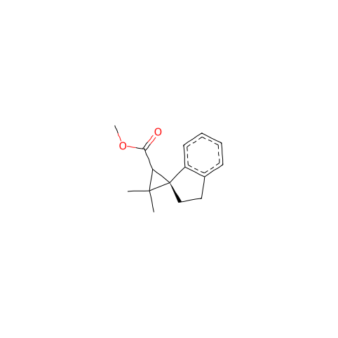 COC(=O)C1C(C)(C)[C@]12CCc1ccccc12